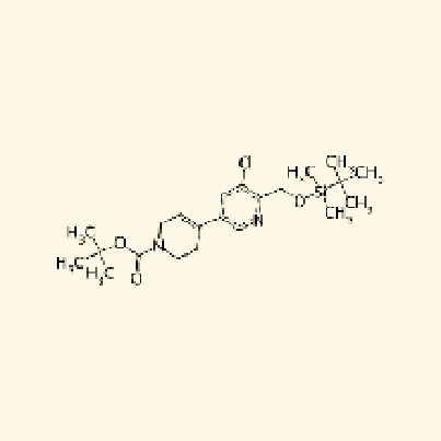 CC(C)(C)OC(=O)N1CC=C(c2cnc(CO[Si](C)(C)C(C)(C)C)c(Cl)c2)CC1